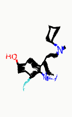 CN(CCc1c[nH]c2c(F)cc(O)cc12)C1CCC1